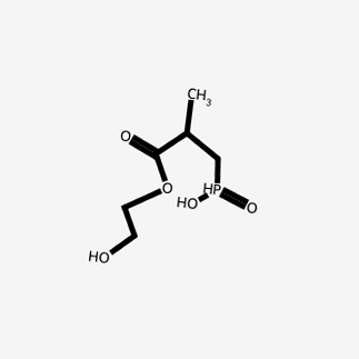 CC(C[PH](=O)O)C(=O)OCCO